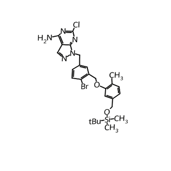 Cc1ccc(CO[Si](C)(C)C(C)(C)C)cc1OCc1cc(Cn2ncc3c(N)nc(Cl)nc32)ccc1Br